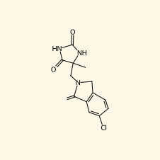 C=C1c2cc(Cl)ccc2CN1CC1(C)NC(=O)NC1=O